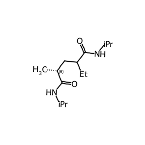 CCC(C[C@@H](C)C(=O)NC(C)C)C(=O)NC(C)C